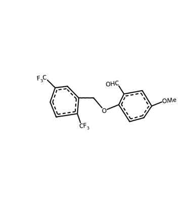 COc1ccc(OCc2cc(C(F)(F)F)ccc2C(F)(F)F)c(C=O)c1